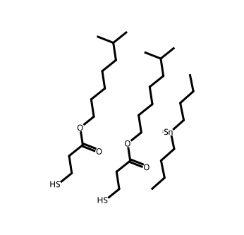 CC(C)CCCCCOC(=O)CCS.CC(C)CCCCCOC(=O)CCS.CCC[CH2][Sn][CH2]CCC